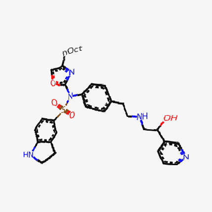 CCCCCCCCc1coc(N(c2ccc(CCNCC(O)c3cccnc3)cc2)S(=O)(=O)c2ccc3c(c2)CCN3)n1